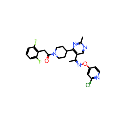 C/C(=N/Oc1ccnc(Cl)c1)c1cnc(C)nc1C1CCN(C(=O)Cc2c(F)cccc2F)CC1